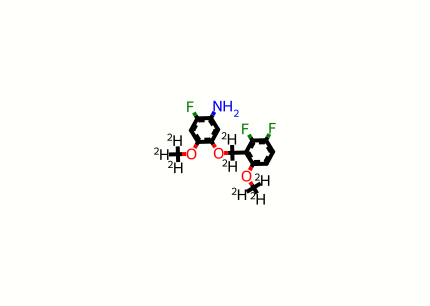 [2H]C([2H])([2H])Oc1cc(F)c(N)cc1OC([2H])([2H])c1c(OC([2H])([2H])[2H])ccc(F)c1F